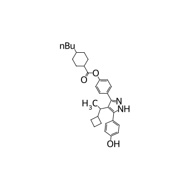 CCCCC1CCC(C(=O)Oc2ccc(-c3n[nH]c(-c4ccc(O)cc4)c3C(C)C3CCC3)cc2)CC1